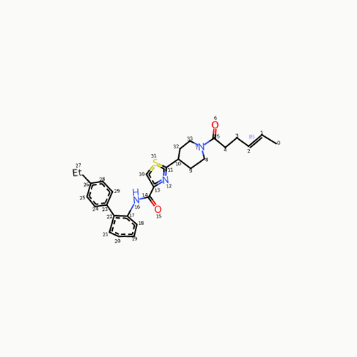 C/C=C/CCC(=O)N1CCC(c2nc(C(=O)Nc3ccccc3-c3ccc(CC)cc3)cs2)CC1